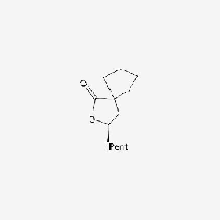 CCCC(C)[C@@H]1CC2(CCCC2)C(=O)O1